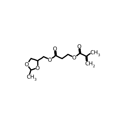 C=C(C)C(=O)OCCC(=O)OCC1COC(C)O1